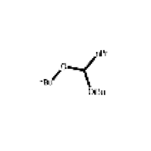 CCCCOC(CCC)OCC(C)C